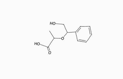 CC(OC(CO)c1ccccc1)C(=O)O